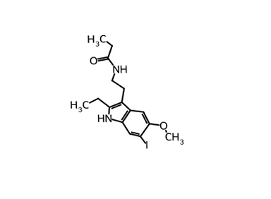 CCC(=O)NCCc1c(CC)[nH]c2cc(I)c(OC)cc12